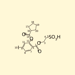 O=C(OCCS(=O)(=O)O)c1ccc(I)cc1OC(=O)C1CCCC1